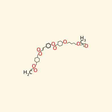 C=CC(=O)OCC1CCC(COC(=O)/C=C/c2ccc(OC(=O)C3CCC(OCCCCCOCC4(C)COC4)CC3)cc2)CC1